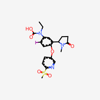 CCN(C(=O)O)c1cc(C2CCC(=O)N2C)c(Oc2ccc(S(C)(=O)=O)nc2)cc1I